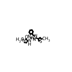 Cc1cc(-c2nc3c4ccccc4nc(N[C@@H]4CCN(C)C4=O)n3n2)cs1